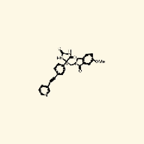 COc1ccc2c(c1)C(=O)N(C[C@@]1(c3ccc(C#Cc4cccnc4)cc3)NC(=O)NC1=O)C2